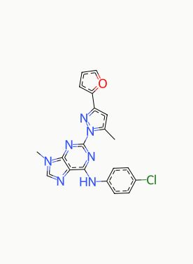 Cc1cc(-c2ccco2)nn1-c1nc(Nc2ccc(Cl)cc2)c2ncn(C)c2n1